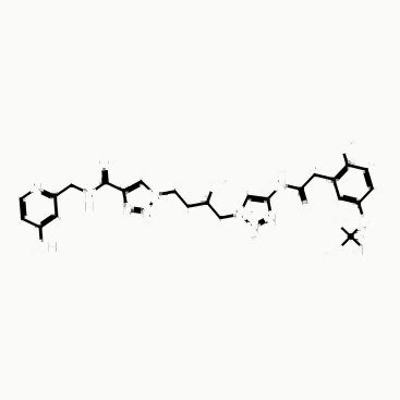 Cc1ccnc(CNC(=O)c2cn(CCC(F)Cn3cc(NC(=O)Cc4cc(OC(F)(F)F)ccc4F)nn3)nn2)c1